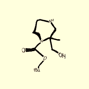 CC(C)(C)OC(=O)N1CCNCC1(C)CO